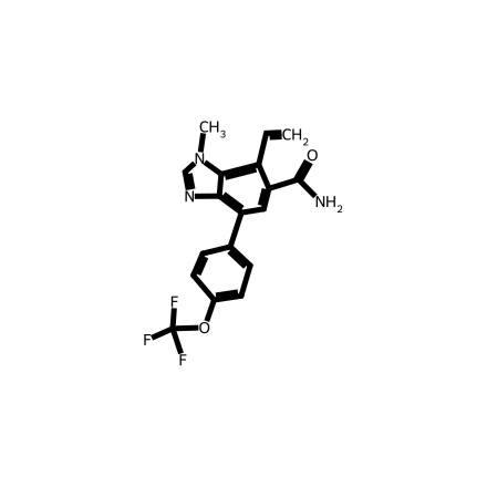 C=Cc1c(C(N)=O)cc(-c2ccc(OC(F)(F)F)cc2)c2ncn(C)c12